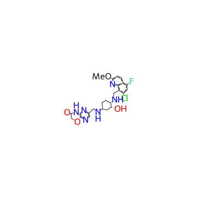 COc1ccc2c(F)cc(Cl)c(CN[C@H]3CC[C@H](NCc4cnc5c(n4)NC(=O)CO5)C[C@H]3O)c2n1